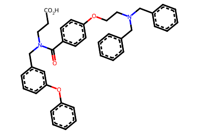 O=C(O)CCN(Cc1cccc(Oc2ccccc2)c1)C(=O)c1ccc(OCCN(Cc2ccccc2)Cc2ccccc2)cc1